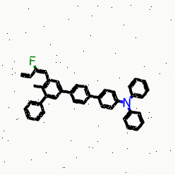 C=C/C(F)=C\c1cc(-c2ccc(-c3ccc(N(c4ccccc4)c4ccccc4)cc3)cc2)cc(-c2ccccc2)c1C